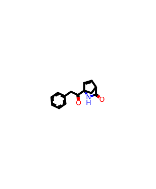 O=C1NC2(C(=O)Cc3ccccc3)C=CC1C2